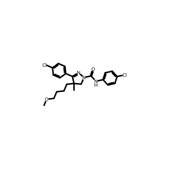 COCCCCC1(C)CN(C(=O)Nc2ccc(Cl)cc2)N=C1c1ccc(Cl)cc1